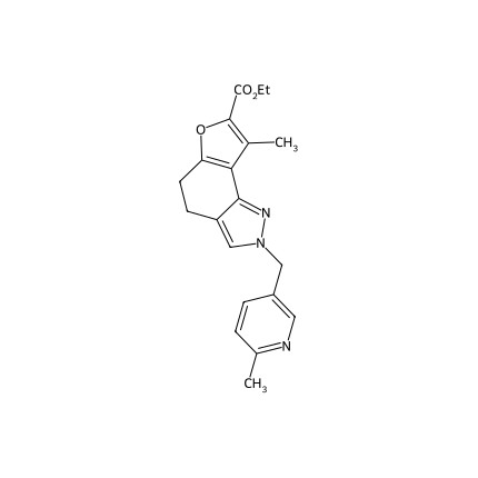 CCOC(=O)c1oc2c(c1C)-c1nn(Cc3ccc(C)nc3)cc1CC2